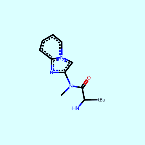 CN(C(=O)C([NH])C(C)(C)C)c1cn2ccccc2n1